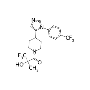 C[C@@](O)(C(=O)N1CCC(c2cncn2-c2ccc(C(F)(F)F)cc2)CC1)C(F)(F)F